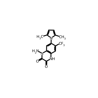 Cc1ccc(C)n1-c1cc2c(cc1C(F)(F)F)[nH]c(=O)c(=O)n2N